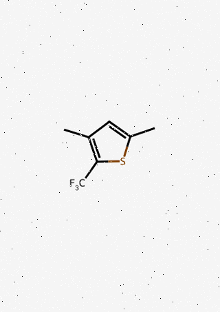 Cc1cc(C)c(C(F)(F)F)s1